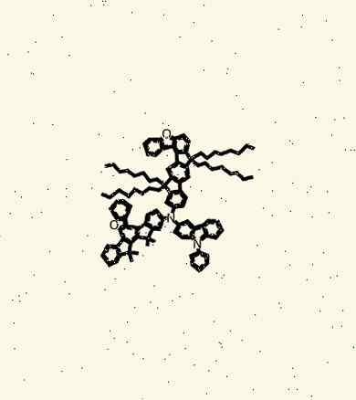 CCCCCCCCC1(CCCCCCCC)c2cc(N(c3ccc4c(c3)C(C)(C)c3c5c(c6oc7ccccc7c6c3-4)-c3ccccc3C5(C)C)c3ccc4c(c3)c3ccccc3n4-c3ccccc3)ccc2-c2cc3c(cc21)-c1c(ccc2oc4ccccc4c12)C3(CCCCCCCC)CCCCCCCC